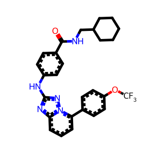 O=C(NCC1CCCCC1)c1ccc(Nc2nc3cccc(-c4ccc(OC(F)(F)F)cc4)n3n2)cc1